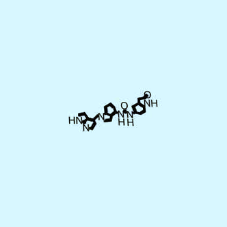 O=C1Cc2cc(NC(=O)Nc3cccc4c3ccn4Cc3ccnc4[nH]ccc34)ccc2N1